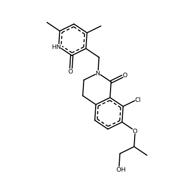 Cc1cc(C)c(CN2CCc3ccc(OC(C)CO)c(Cl)c3C2=O)c(=O)[nH]1